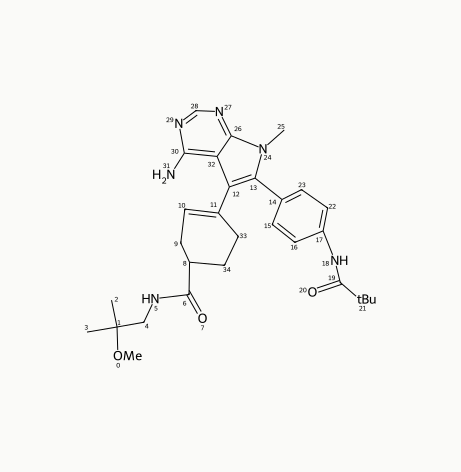 COC(C)(C)CNC(=O)C1CC=C(c2c(-c3ccc(NC(=O)C(C)(C)C)cc3)n(C)c3ncnc(N)c23)CC1